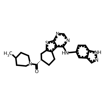 CC1CCN(C(=O)[C@H]2CCc3c(sc4ncnc(Nc5ccc6[nH]ncc6c5)c34)C2)CC1